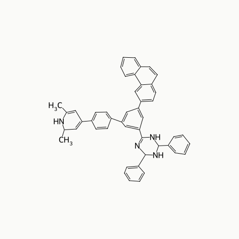 CC1=CC(c2ccc(-c3cc(C4=NC(c5ccccc5)NC(c5ccccc5)N4)cc(-c4ccc5ccc6ccccc6c5c4)c3)cc2)=CC(C)N1